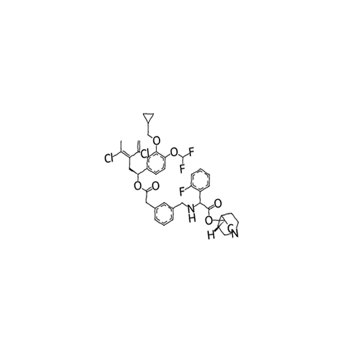 C=C(Cl)/C(C[C@H](OC(=O)Cc1cccc(CNC(C(=O)O[C@H]2CN3CCC2CC3)c2ccccc2F)c1)c1ccc(OC(F)F)c(OCC2CC2)c1)=C(\C)Cl